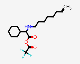 C=CCCCCCCNC(C(=O)OC(=O)C(F)(F)F)C1CCCCC1